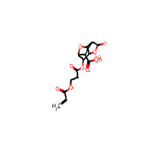 C=CC(=O)OCCC(=O)OC1C2OC(=O)C3C2OC1C3C(=O)O